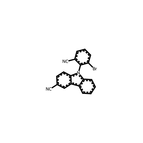 N#Cc1ccc2c(c1)c1ccccc1n2-c1c(Br)cccc1C#N